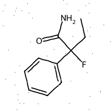 CCC(F)(C(N)=O)c1ccccc1